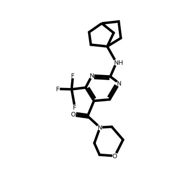 O=C(c1cnc(NC23CCC(CC2)C3)nc1C(F)(F)F)N1CCOCC1